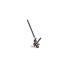 CCCCCCCCCCCCCCCCCCCCOC(C)c1ccc(-c2ccc(C(=O)O)c(-c3ccccc3)c2C(CCC)CCCCCCCC)cc1